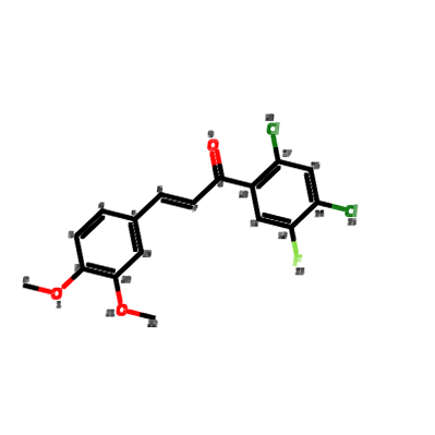 COc1ccc(C=CC(=O)c2cc(F)c(Cl)cc2Cl)cc1OC